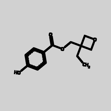 CCC1(COC(=O)c2ccc(O)cc2)COC1